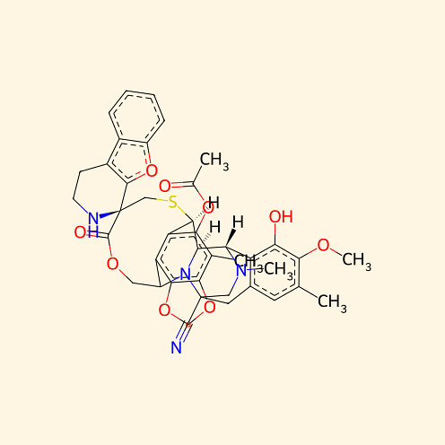 COc1c(C)cc2c(c1O)[C@H]1[C@@H]3[C@@H]4SC[C@]5(NCCc6c5oc5ccccc65)C(=O)OCC(c5c6c(c(C)c(OC(C)=O)c54)OCO6)N3C(C#N)(C2)CN1C